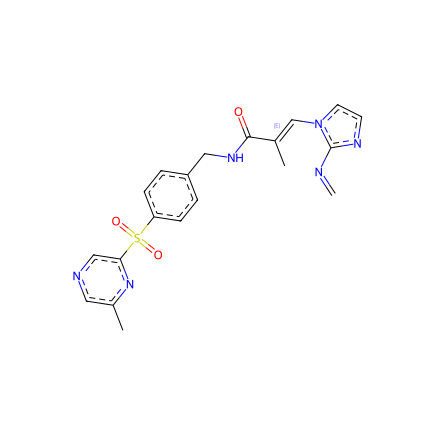 C=Nc1nccn1/C=C(\C)C(=O)NCc1ccc(S(=O)(=O)c2cncc(C)n2)cc1